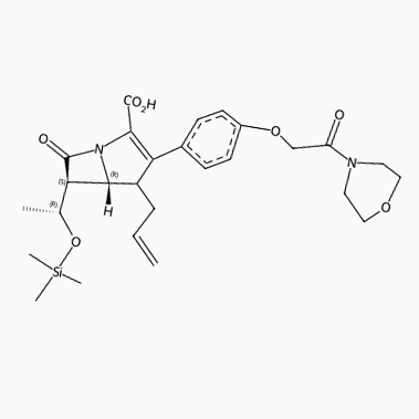 C=CCC1C(c2ccc(OCC(=O)N3CCOCC3)cc2)=C(C(=O)O)N2C(=O)[C@H]([C@@H](C)O[Si](C)(C)C)[C@@H]12